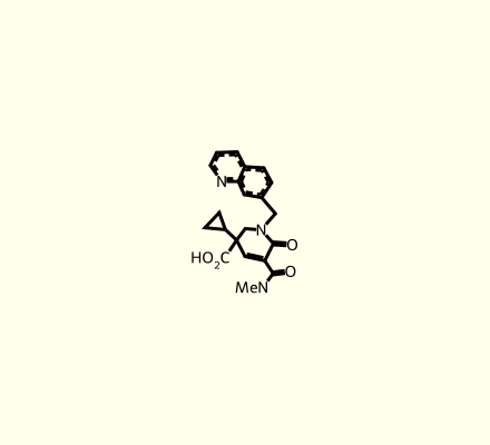 CNC(=O)C1=CC(C(=O)O)(C2CC2)CN(Cc2ccc3cccnc3c2)C1=O